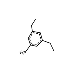 CCc1cc([PH])cc(CC)c1